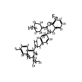 Cc1ccc2c(NCc3ccc(N(Cc4cccc(F)c4)C(=O)C4CCNCC4)cc3)nc(N(C)C)nc2c1